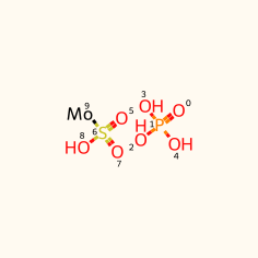 O=P(O)(O)O.O=[S](=O)(O)[Mo]